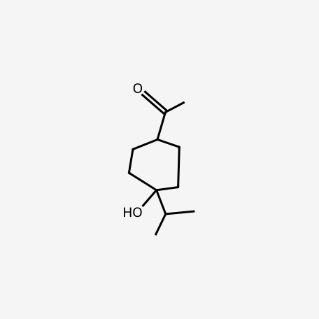 CC(=O)C1CCC(O)(C(C)C)CC1